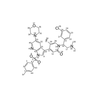 Cc1ccc(S(=O)(=O)n2cc(-c3cc(=O)n(C(CN(C)C)c4cccc(Cl)c4)cc3F)c3cc(N4CCOCC4)cnc32)cc1